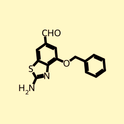 Nc1nc2c(OCc3ccccc3)cc(C=O)cc2s1